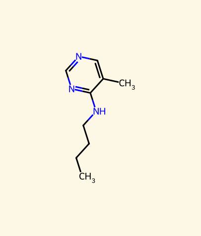 CCCCNc1ncncc1C